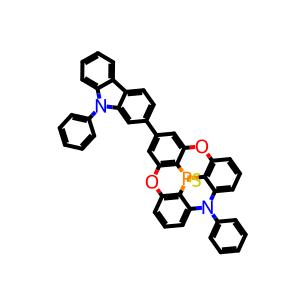 S=P12c3c4cc(-c5ccc6c7ccccc7n(-c7ccccc7)c6c5)cc3Oc3cccc(c31)N(c1ccccc1)c1cccc(c12)O4